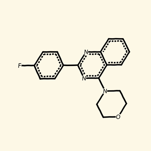 Fc1ccc(-c2nc(N3CCOCC3)c3ccccc3n2)cc1